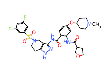 CN1CCC(Oc2ccc(C(=O)Nc3n[nH]c4c3CN(S(=O)(=O)c3cc(F)cc(F)c3)CC4)c(NC(=O)C3CCOC3)c2)CC1